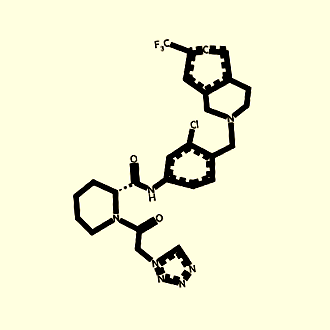 O=C(Nc1ccc(CN2CCc3ccc(C(F)(F)F)cc3C2)c(Cl)c1)[C@H]1CCCCN1C(=O)Cn1cnnn1